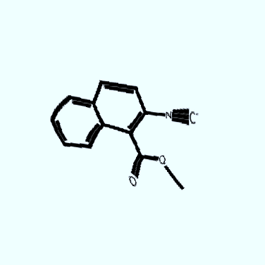 [C-]#[N+]c1ccc2ccccc2c1C(=O)OC